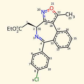 CCOC(=O)C[C@@H]1N=C(c2ccc(Cl)cc2)c2ccccc2-c2c1noc2C